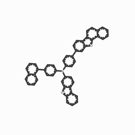 c1ccc2c(-c3ccc(N(c4ccc(-c5ccc6c(c5)oc5c7ccccc7ccc65)cc4)c4ccc5c(c4)oc4ccccc45)cc3)cccc2c1